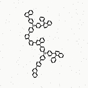 c1ccc(-c2c(-c3ccc(N(c4ccc(-c5cccc(-c6cccc(-c7cc(-c8ccc(N(c9ccc(-c%10ccc(-c%11ccc%12ccccc%12c%11)cc%10)cc9)c9ccc(-c%10ccc%11ccccc%11c%10-c%10ccccc%10)cc9)cc8)c8ccccc8c7)c6)c5)cc4)c4ccc(-c5cccc6ccccc56)cc4)cc3)ccc3ccccc23)cc1